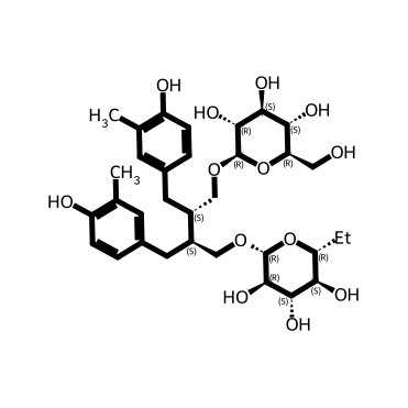 CC[C@H]1O[C@@H](OC[C@@H](Cc2ccc(O)c(C)c2)[C@@H](CO[C@@H]2O[C@H](CO)[C@@H](O)[C@H](O)[C@H]2O)Cc2ccc(O)c(C)c2)[C@H](O)[C@@H](O)[C@@H]1O